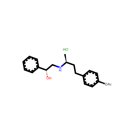 CC(=O)Oc1ccc(CC[C@H](C)NC[C@H](O)c2ccccc2)cc1.Cl